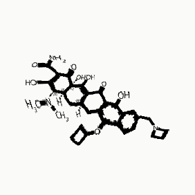 CN(C)[C@@H]1C(O)=C(C(N)=O)C(=O)[C@@]2(O)C(O)=C3C(=O)c4c(c(OC5CCC5)c5ccc(CN6CCC6)cc5c4O)C[C@H]3C[C@@H]12